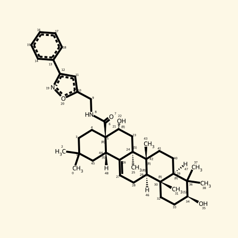 CC1(C)CC[C@]2(C(=O)NCc3cc(-c4ccccc4)no3)[C@H](O)C[C@]3(C)C(=CC[C@@H]4[C@@]5(C)CC[C@H](O)C(C)(C)[C@@H]5CC[C@]43C)[C@@H]2C1